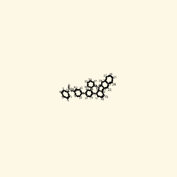 CN(c1ccccc1)c1ccc(-c2ccc(-c3cccc4c5cc6ccccc6cc5n(-c5ccccc5)c34)cc2)cc1